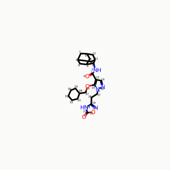 O=C(NC1C2CC3CC(C2)CC1C3)c1cnn(CCc2noc(=O)[nH]2)c1OCC1CCCCC1